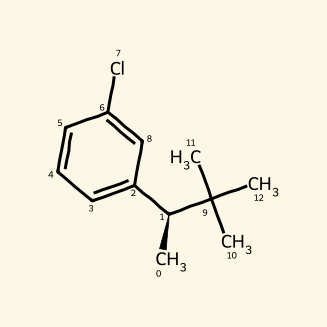 C[C@@H](c1cccc(Cl)c1)C(C)(C)C